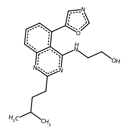 CC(C)CCc1nc(NCCO)c2c(-c3cnco3)cccc2n1